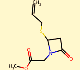 C=CCSC1CC(=O)N1CC(=O)OC